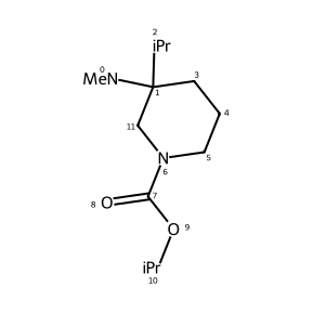 CNC1(C(C)C)CCCN(C(=O)OC(C)C)C1